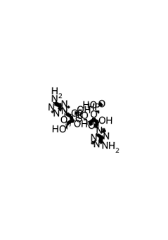 Nc1ncnc2c1ncn2[C@@H]1O[C@H](COP(=O)(O)OC2C(O)[C@@H](CO)O[C@H]2n2cnc3c(N)ncnc32)C(OC[PH](=O)O)C1O